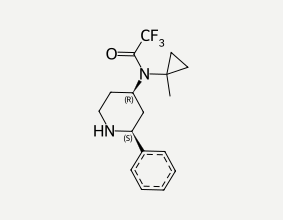 CC1(N(C(=O)C(F)(F)F)[C@@H]2CCN[C@H](c3ccccc3)C2)CC1